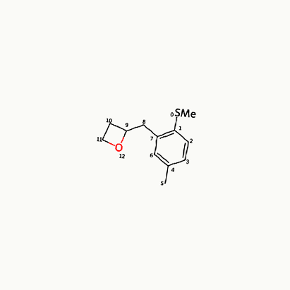 CSc1ccc(C)cc1CC1CCO1